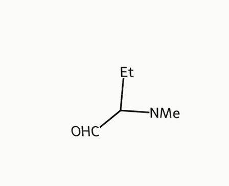 CCC(C=O)NC